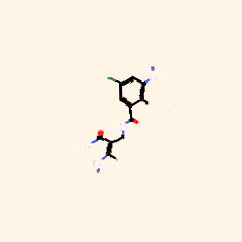 CCN/C(C)=C(/CNC(=O)c1cc(Cl)cc(NCC)c1C)C(N)=O